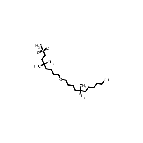 CC(C)(CCCCCO)CCCCOCCCCC(C)(C)CCS(N)(=O)=O